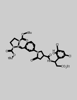 CCOC(=O)CC(NC(=O)C1CC(=O)N(c2cccc(C=[N+]3N(C(=O)OC(C)(C)C)CCN3C(=O)OC(C)(C)C)c2)C1)c1cc(Cl)cc(Cl)c1O